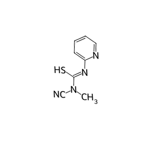 CN(C#N)C(S)=Nc1ccccn1